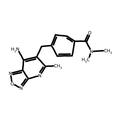 Cc1nc2nonc2c(N)c1Cc1ccc(C(=O)N(C)C)cc1